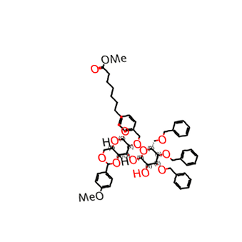 COC(=O)CCCCCCCCO[C@H]1O[C@@H]2COC(c3ccc(OC)cc3)O[C@H]2[C@H](O[C@H]2O[C@H](COCc3ccccc3)[C@@H](OCc3ccccc3)[C@H](OCc3ccccc3)[C@H]2O)[C@H]1OCc1ccccc1